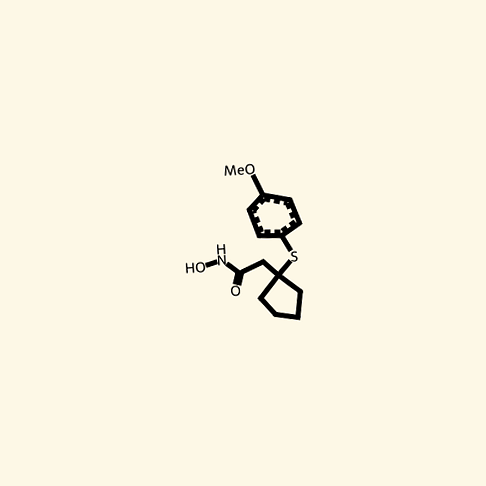 COc1ccc(SC2(CC(=O)NO)CCCC2)cc1